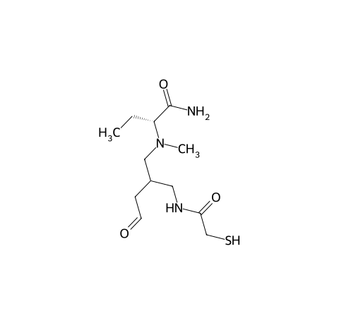 CC[C@H](C(N)=O)N(C)CC(CC=O)CNC(=O)CS